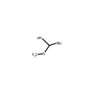 CCCCC(CCC)SC(F)(F)F